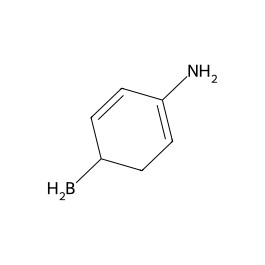 BC1C=CC(N)=CC1